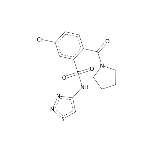 O=C(c1ccc(Cl)cc1S(=O)(=O)Nc1csnn1)N1CCCC1